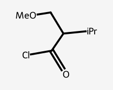 COCC(C(=O)Cl)C(C)C